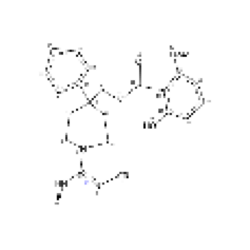 CCN/C(=N/C#N)N1CCC(CNC(=O)c2c(O)cccc2OC)(c2ccccc2)CC1